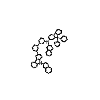 c1ccc(C2(c3ccccc3)c3ccccc3-c3ccc(N(c4cccc(-c5cccc(-c6ccc7c(c6)c6ccccc6n7-c6ccc7ccccc7c6)c5)c4)c4ccc5ccccc5c4)cc32)cc1